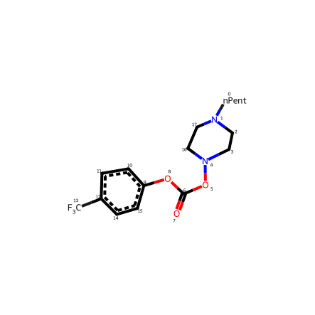 CCCCCN1CCN(OC(=O)Oc2ccc(C(F)(F)F)cc2)CC1